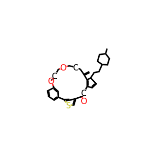 C=C1CCCOCCOc2cccc(c2)-c2cc(cs2)C(=O)CC2=C1C(CCC1CCC(C)CC1)C=C2